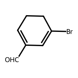 O=CC1=CCCC(Br)=C1